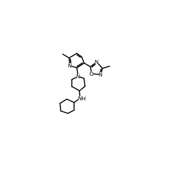 Cc1ccc(-c2nc(C)no2)c(N2CCC(NC3CCCCC3)CC2)n1